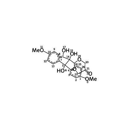 COc1ccc(C(O)(c2ccc(OC)cc2)C(O)(CO)C2OCC(=O)CO2)cc1